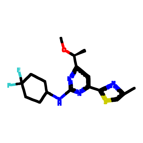 CO[C@@H](C)c1cc(-c2nc(C)cs2)nc(NC2CCC(F)(F)CC2)n1